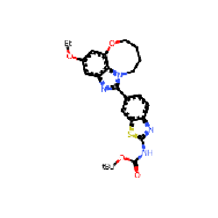 CCOc1cc2c3c(c1)nc(-c1ccc4nc(NC(=O)OC(C)(C)C)sc4c1)n3CCCCO2